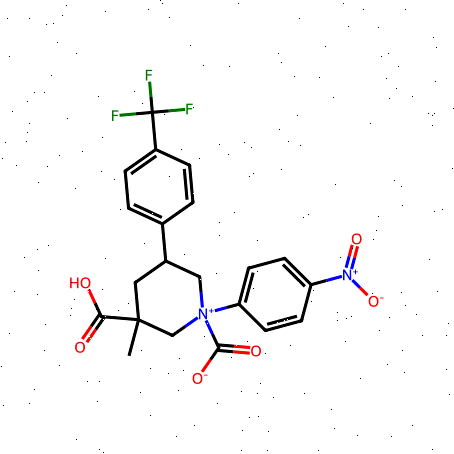 CC1(C(=O)O)CC(c2ccc(C(F)(F)F)cc2)C[N+](C(=O)[O-])(c2ccc([N+](=O)[O-])cc2)C1